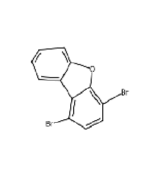 Brc1ccc(Br)c2c1oc1ccccc12